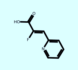 O=C(O)/C(F)=C/c1ccccn1